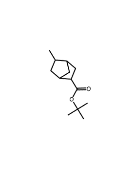 CC1CC2CC1CC2C(=O)OC(C)(C)C